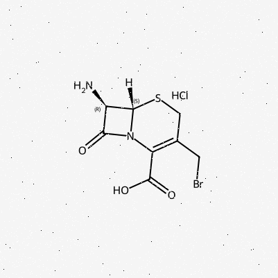 Cl.N[C@@H]1C(=O)N2C(C(=O)O)=C(CBr)CS[C@@H]12